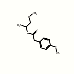 COCC(C)OC(=O)Cc1ccc(OC)cc1